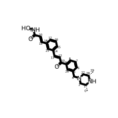 C[C@@H]1CN(Cc2cccc(C(=O)/C=C/c3cccc(/C=C/C(=O)NO)c3)c2)C[C@H](C)N1